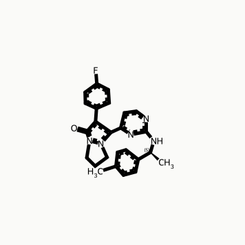 Cc1ccc([C@H](C)Nc2nccc(-c3c(-c4ccc(F)cc4)c(=O)n4n3CCC4)n2)cc1